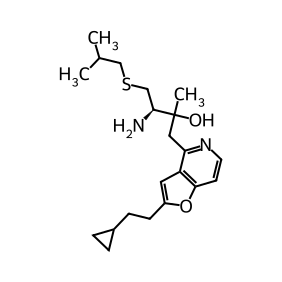 CC(C)CSC[C@H](N)C(C)(O)Cc1nccc2oc(CCC3CC3)cc12